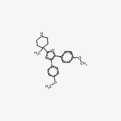 COc1ccc(-c2nc(C3(C)CCNCC3)oc2-c2ccc(OC)cc2)cc1